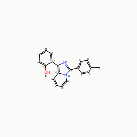 Cc1ccc(-c2nc(-c3ccccc3O)c3ccccn23)cc1